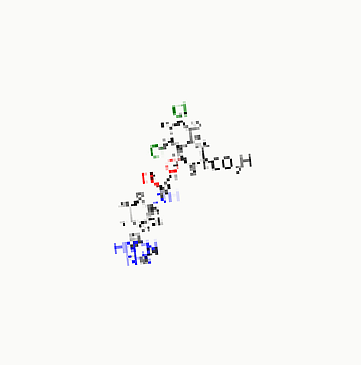 O=C(COc1cc(C(=O)O)cc2cc(Cl)cc(Cl)c12)Nc1cccc(-c2nnn[nH]2)c1